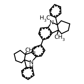 CN1c2ccc(-c3ccc4c(c3)C3(C)CCCCC3(c3ccccc3)N4)cc2C2(C)CCCCC12c1ccccc1